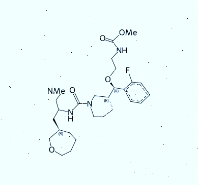 CNCC(C[C@H]1CCCCOC1)NC(=O)N1CCC[C@@H]([C@@H](OCCNC(=O)OC)c2ccccc2F)C1